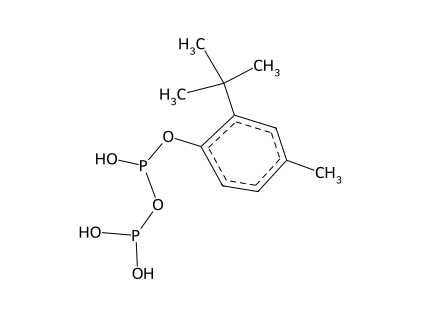 Cc1ccc(OP(O)OP(O)O)c(C(C)(C)C)c1